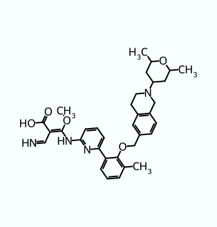 CO/C(Nc1cccc(-c2cccc(C)c2OCc2ccc3c(c2)CCN(C2CC(C)OC(C)C2)C3)n1)=C(/C=N)C(=O)O